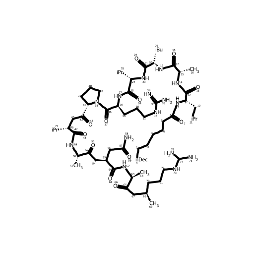 CCCCCCCCCCCCCCCC(=O)N[C@@H](CC(C)C)C(=O)N[C@@H](C)C(=O)N[C@H](C(=O)N[C@H](C(=O)N[C@@H](CCCNC(=N)N)C(=O)N1CCC[C@H]1C(=O)C[C@H](C(=O)N[C@@H](C)C(=O)C[C@@H](CC(N)=O)C(=O)N[C@@H](C)C(=O)C[C@H](C)CCCNC(N)N)C(C)C)C(C)C)[C@@H](C)CC